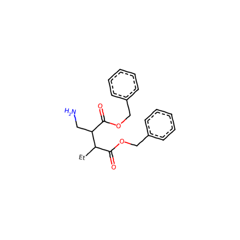 CCC(C(=O)OCc1ccccc1)C(CN)C(=O)OCc1ccccc1